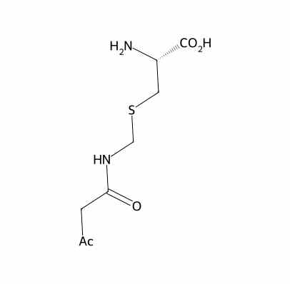 CC(=O)CC(=O)NCSC[C@H](N)C(=O)O